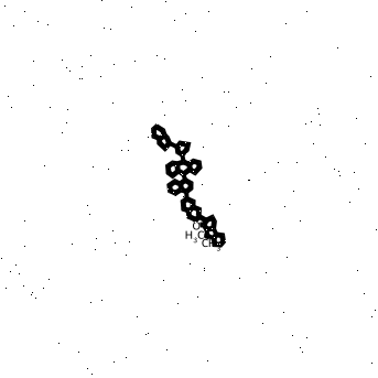 CC1(C)c2ccccc2-c2ccc3c(oc4cc5ccc(-c6ccc(-c7c8ccccc8c(-c8cccc(-c9ccc%10ccccc%10c9)c8)c8ccccc78)c7ccccc67)cc5cc43)c21